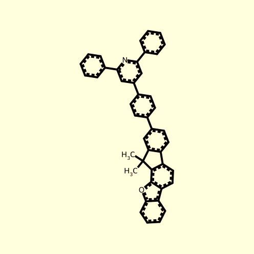 CC1(C)c2cc(-c3ccc(-c4cc(-c5ccccc5)nc(-c5ccccc5)c4)cc3)ccc2-c2ccc3c(oc4ccccc43)c21